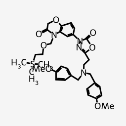 COc1ccc(CN(CCc2nn(-c3ccc4c(c3)N(COCCS(C)(C)C)C(=O)CO4)c(=O)o2)Cc2ccc(OC)cc2)cc1